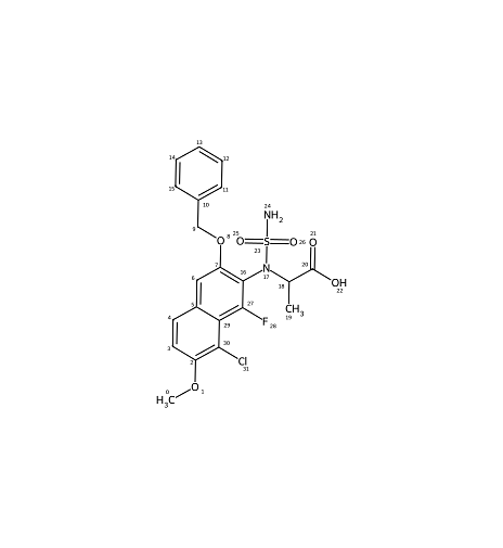 COc1ccc2cc(OCc3ccccc3)c(N(C(C)C(=O)O)S(N)(=O)=O)c(F)c2c1Cl